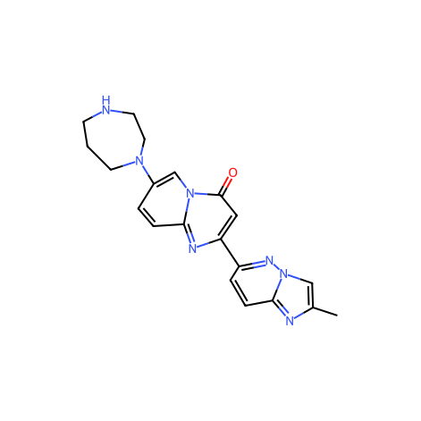 Cc1cn2nc(-c3cc(=O)n4cc(N5CCCNCC5)ccc4n3)ccc2n1